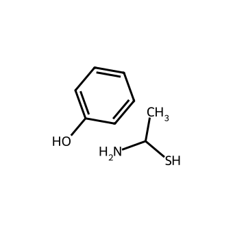 CC(N)S.Oc1ccccc1